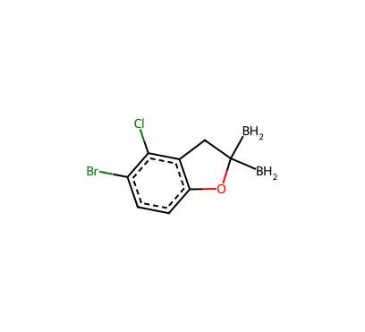 BC1(B)Cc2c(ccc(Br)c2Cl)O1